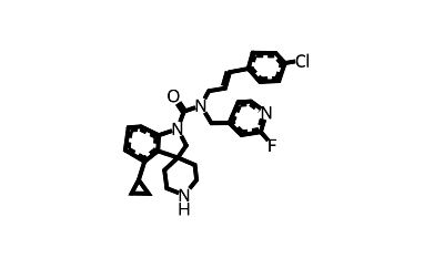 O=C(N(CC=Cc1ccc(Cl)cc1)Cc1ccnc(F)c1)N1CC2(CCNCC2)c2c(C3CC3)cccc21